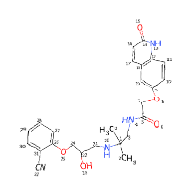 CC(C)(CNC(=O)COc1ccc2[nH]c(=O)ccc2c1)NCC(O)COc1ccccc1C#N